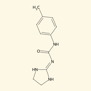 Cc1ccc(NC(=O)N=C2NCCN2)cc1